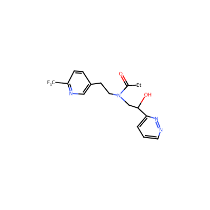 CCC(=O)N(CCc1ccc(C(F)(F)F)nc1)CC(O)c1cccnn1